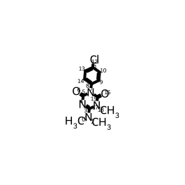 CN(C)c1nc(=O)n(-c2ccc(Cl)cc2)c(=O)n1C